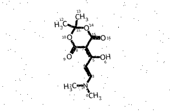 CN(C)C=CC(O)=C1C(=O)OC(C)(C)OC1=O